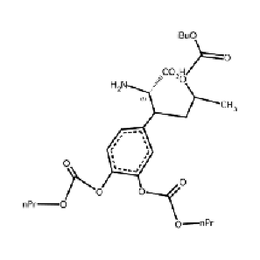 CCCOC(=O)Oc1ccc(C(CC(C)OC(=O)OCC(C)C)[C@H](N)C(=O)O)cc1OC(=O)OCCC